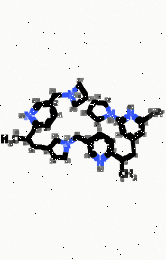 CC(C)c1cc(CC(C)c2ccc(CN3CCC(CC(C)c4ccc(CN5CCC5)cn4)C3)cn2)cc(N2CCCC2)n1